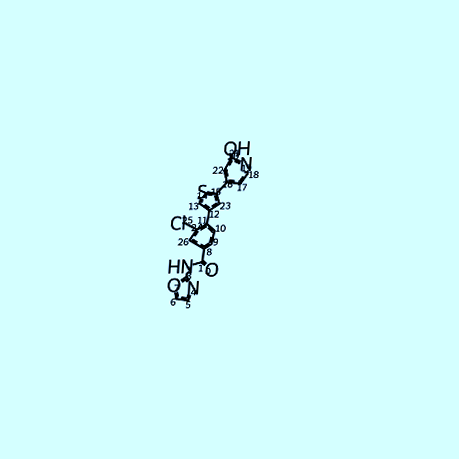 O=C(Nc1ncco1)c1ccc(-c2csc(-c3ccnc(O)c3)c2)c(Cl)c1